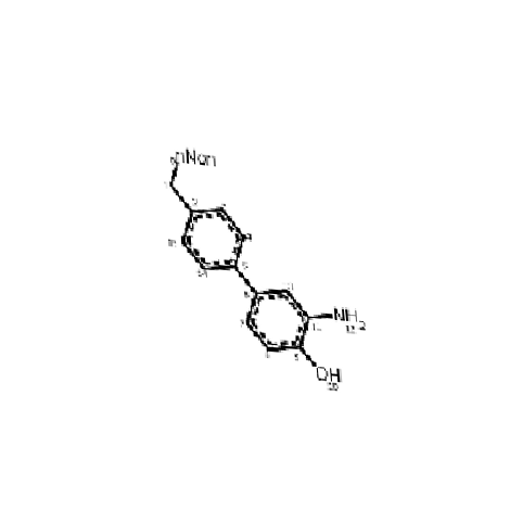 CCCCCCCCCCc1ccc(-c2ccc(O)c(N)c2)cc1